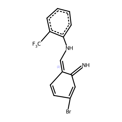 N=C1C=C(Br)C=C/C1=C/Nc1ccccc1C(F)(F)F